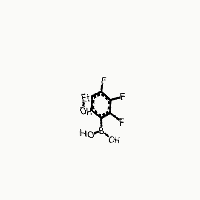 CCO.OB(O)c1ccc(F)c(F)c1F